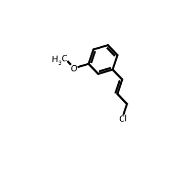 COc1cccc(/C=C/CCl)c1